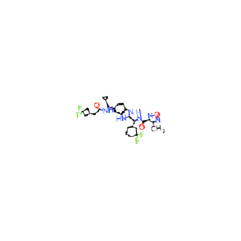 Cc1nonc1C(=O)NC(c1nc2ccc(C(NC(=O)CC3CC(F)(F)C3)C3CC3)cc2[nH]1)[C@@H]1CCCC(F)(F)C1